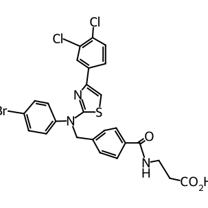 O=C(O)CCNC(=O)c1ccc(CN(c2ccc(Br)cc2)c2nc(-c3ccc(Cl)c(Cl)c3)cs2)cc1